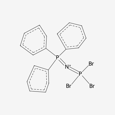 BrP(Br)(Br)=[N+]=P(c1ccccc1)(c1ccccc1)c1ccccc1